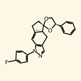 C[C@]12Cc3cnn(-c4ccc(F)cc4)c3C=C1CC[C@]21OC[C@@H](c2ccccc2)O1